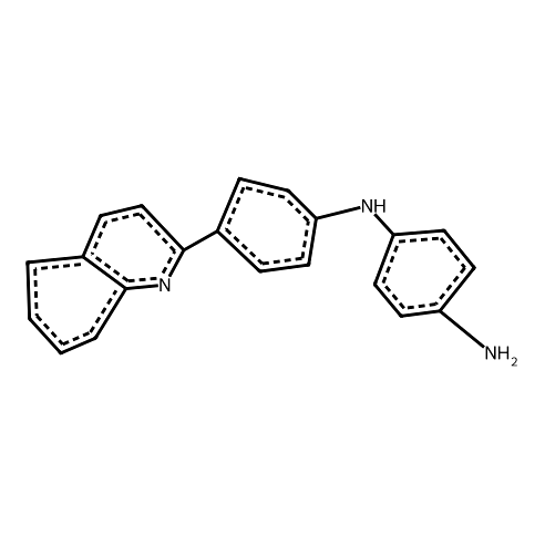 Nc1ccc(Nc2ccc(-c3ccc4ccccc4n3)cc2)cc1